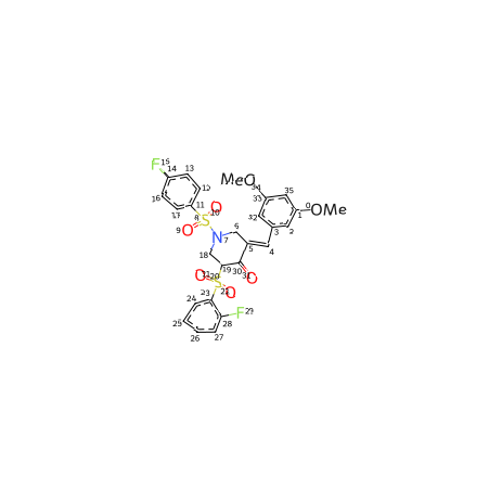 COc1cc(C=C2CN(S(=O)(=O)c3ccc(F)cc3)CC(S(=O)(=O)c3ccccc3F)C2=O)cc(OC)c1